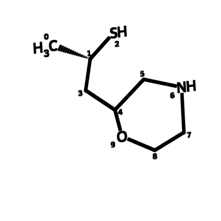 C[C@H](S)CC1CNCCO1